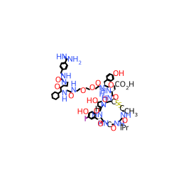 CC(C)C[C@@H]1NC(=O)CNC(=O)[C@H](Cc2ccc(O)c(I)c2)NC(=O)[C@H]2C[C@@H](O)CN2C(=O)[C@@H](NC(=O)[C@@H](CCC(=O)O)NC(=O)[C@H](Cc2ccc(O)cc2)NC(=O)COCCOCCNC(=O)CN[C@@H](C(=O)C2CCN2C(=O)NCc2ccc(C(=N)N)cc2)C2CCCCC2)CSSC[C@@H](C)NC1=O